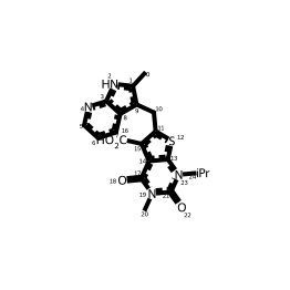 Cc1[nH]c2ncccc2c1Cc1sc2c(c1C(=O)O)c(=O)n(C)c(=O)n2C(C)C